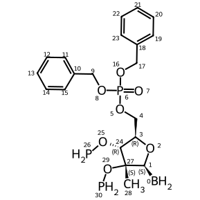 B[C@@H]1O[C@H](COP(=O)(OCc2ccccc2)OCc2ccccc2)[C@@H](OP)[C@@]1(C)OP